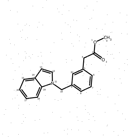 COC(=O)Cc1cccc(Cn2ccc3ccccc32)c1